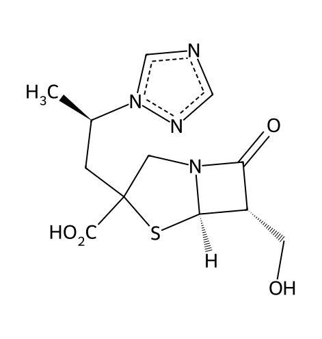 C[C@H](CC1(C(=O)O)CN2C(=O)[C@H](CO)[C@H]2S1)n1cncn1